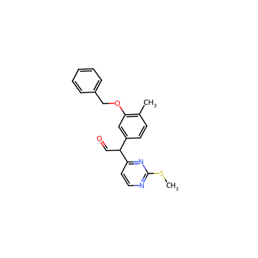 CSc1nccc(C(C=O)c2ccc(C)c(OCc3ccccc3)c2)n1